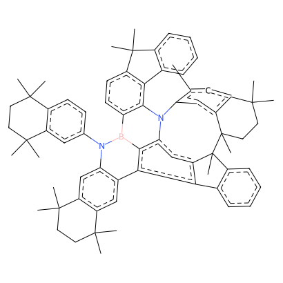 Cc1cc2c3cc1N1c4cc5c(c6c4B(c4ccc7c(c41)-c1ccccc1C7(C)C)N(c1ccc4c(c1)C(C)(C)CCC4(C)C)c1cc4c(cc1-6)C(C)(C)CCC4(C)C)-c1ccccc1C5(C)C3(C)CCC2(C)C